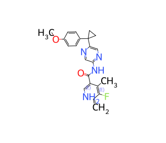 C=C/C(F)=C(C)\C(=C/N)C(=O)Nc1cnc(C2(c3ccc(OC)cc3)CC2)cn1